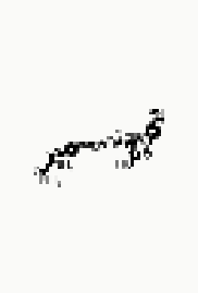 Cc1ncsc1-c1ccc(CNC(=O)[C@@H]2C[C@@H](O)CN2C(=O)[C@@H](NC(=O)COCCOCCCc2ccc(CO[C@H](C)[C@@H](N)CCC(N)=O)cc2)C(C)(C)C)cc1